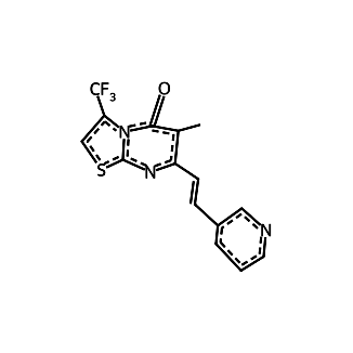 Cc1c(/C=C/c2cccnc2)nc2scc(C(F)(F)F)n2c1=O